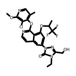 CCn1c(CO)nn(-c2cc(OC(C)C(F)(F)F)c3c(Oc4c(C)cnc(OC)c4Cl)nccc3c2)c1=O